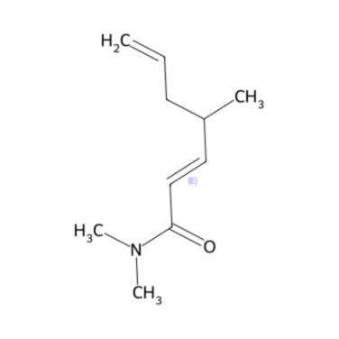 C=CCC(C)/C=C/C(=O)N(C)C